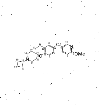 COc1ccc(Oc2ccc3c(c2)CCC2(CCN(C4CCC4)CC2)O3)cn1